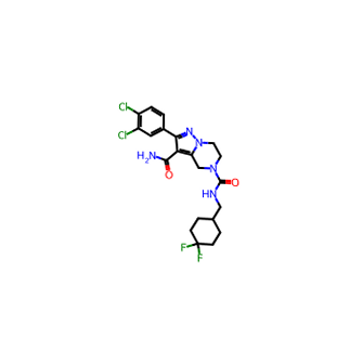 NC(=O)c1c(-c2ccc(Cl)c(Cl)c2)nn2c1CN(C(=O)NCC1CCC(F)(F)CC1)CC2